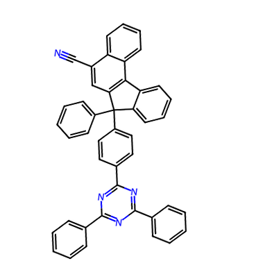 N#Cc1cc2c(c3ccccc13)-c1ccccc1C2(c1ccccc1)c1ccc(-c2nc(-c3ccccc3)nc(-c3ccccc3)n2)cc1